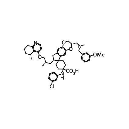 COc1cccc(CN(C)C[C@H]2COc3cc4c(cc3O2)C2(CCC(Nc3cccc(Cl)c3)(C(=O)O)CC2)[C@@H](C[C@@H](C)COc2ccnc3c2[C@H](C)CCC3)C4)c1